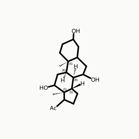 CC(=O)C1CC[C@H]2[C@@H]3C(O)CC4CC(O)CC[C@]4(C)[C@@H]3CC(O)[C@]12C